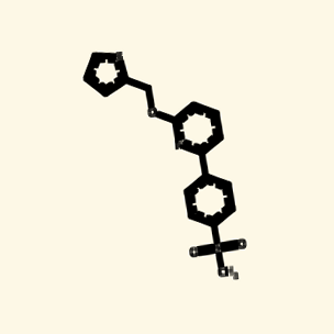 CS(=O)(=O)c1ccc(-c2cccc(OCc3cccs3)n2)cc1